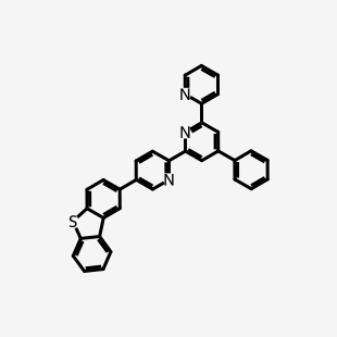 c1ccc(-c2cc(-c3ccccn3)nc(-c3ccc(-c4ccc5sc6ccccc6c5c4)cn3)c2)cc1